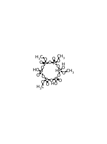 COP1(=O)OP(=O)(O)OP(=O)(OC)OP(=O)(OC)O[PH](O)(OC)OP(=O)(O)O1